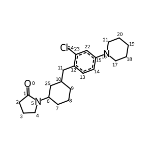 O=C1CCCN1C1CCCC(Cc2ccc(N3CCCCC3)cc2Cl)C1